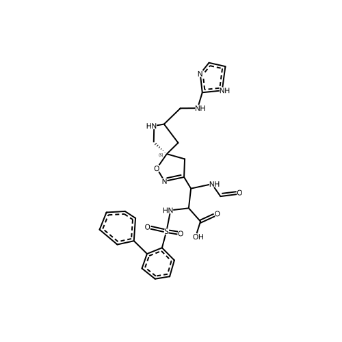 O=CNC(C1=NO[C@]2(CNC(CNc3ncc[nH]3)C2)C1)C(NS(=O)(=O)c1ccccc1-c1ccccc1)C(=O)O